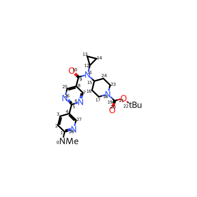 CNc1ccc(-c2ncc(C(=O)N(C3CC3)C3CCN(C(=O)OC(C)(C)C)CC3)cn2)cn1